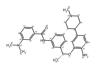 C[C@@H](Oc1cc(C2CCN(C)CC2)cnc1N)c1cccc(NC(=O)c2cccc(N(C)C)c2)c1